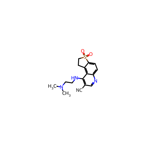 CN(C)CCNc1c(C#N)cnc2ccc3c(c12)CCS3(=O)=O